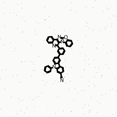 N#Cc1ccc2c3cc(-c4cccc(-c5nc6ccccc6c6nc7oc8ccccc8n7c56)c4)ccc3n(-c3ccccc3)c2c1